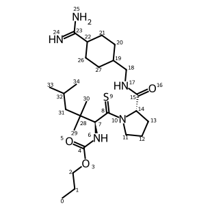 CCCOC(=O)N[C@H](C(=S)N1CCC[C@H]1C(=O)NCC1CCC(C(=N)N)CC1)C(C)(C)CC(C)C